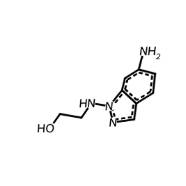 Nc1ccc2cnn(NCCO)c2c1